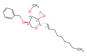 CCCCCCC/C=C/[C@@H]1OC[C@@H](OCc2ccccc2)[C@H](OC)[C@]12CO2